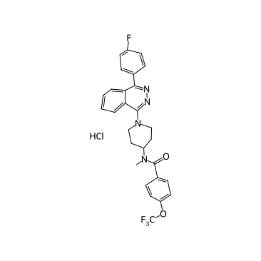 CN(C(=O)c1ccc(OC(F)(F)F)cc1)C1CCN(c2nnc(-c3ccc(F)cc3)c3ccccc23)CC1.Cl